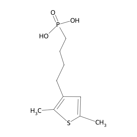 Cc1cc(CCCCP(=O)(O)O)c(C)s1